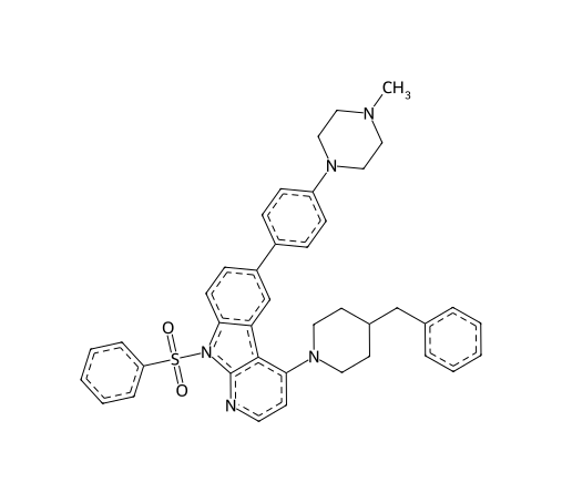 CN1CCN(c2ccc(-c3ccc4c(c3)c3c(N5CCC(Cc6ccccc6)CC5)ccnc3n4S(=O)(=O)c3ccccc3)cc2)CC1